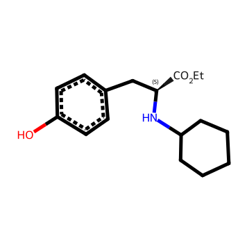 CCOC(=O)[C@H](Cc1ccc(O)cc1)NC1CCCCC1